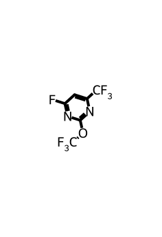 Fc1cc(C(F)(F)F)nc(OC(F)(F)F)n1